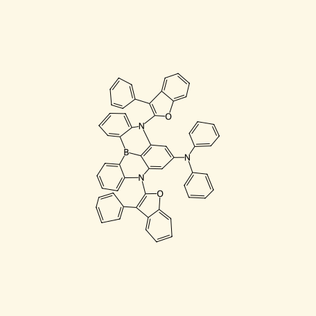 c1ccc(-c2c(N3c4ccccc4B4c5ccccc5N(c5oc6ccccc6c5-c5ccccc5)c5cc(N(c6ccccc6)c6ccccc6)cc3c54)oc3ccccc23)cc1